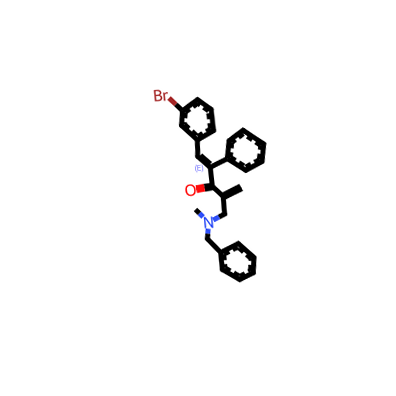 C=C(CN(C)Cc1ccccc1)C(=O)/C(=C/c1cccc(Br)c1)c1ccccc1